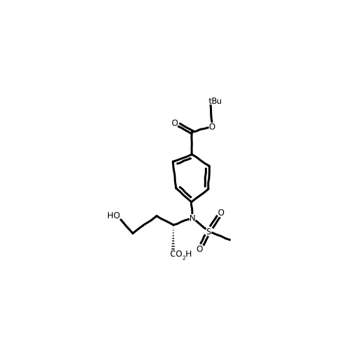 CC(C)(C)OC(=O)c1ccc(N([C@@H](CCO)C(=O)O)S(C)(=O)=O)cc1